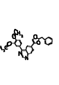 COc1ccc(-c2ncnc3ccc(C4=COC(Cc5ccccc5)O4)cc23)cc1OC